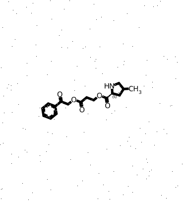 CC1CN[C@H](C(=O)OCCC(=O)OCC(=O)c2ccccc2)C1